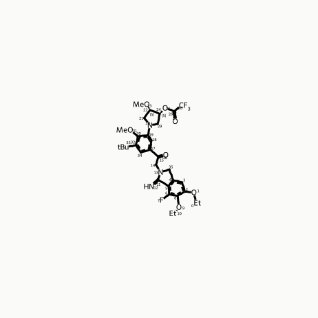 CCOc1cc2c(c(F)c1OCC)C(=N)N(CC(=O)c1cc(N3C[C@H](OC)[C@@H](OC(=O)C(F)(F)F)C3)c(OC)c(C(C)(C)C)c1)C2